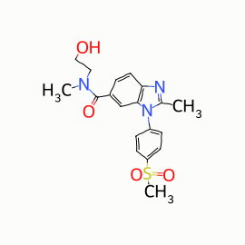 Cc1nc2ccc(C(=O)N(C)CCO)cc2n1-c1ccc(S(C)(=O)=O)cc1